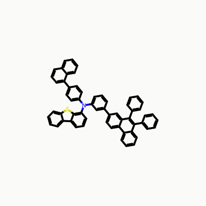 c1ccc(-c2c(-c3ccccc3)c3cc(-c4cccc(N(c5ccc(-c6cccc7ccccc67)cc5)c5cccc6c5sc5ccccc56)c4)ccc3c3ccccc23)cc1